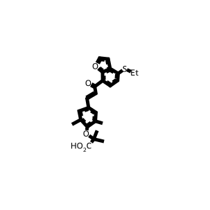 CCSc1ccc(C(=O)C=Cc2cc(C)c(OC(C)(C)C(=O)O)c(C)c2)c2occc12